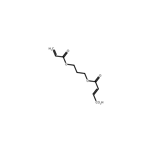 C=CC(=O)OCCCOC(=O)C=CC(=O)O